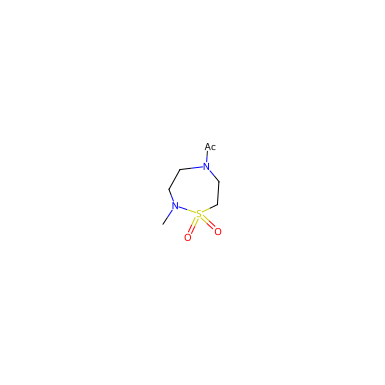 CC(=O)N1CCN(C)S(=O)(=O)CC1